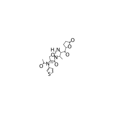 CC(=O)N(c1ccsc1)[C@H]1CON(C(C)C(N)C(=O)C2CCC(=O)O2)C1=O